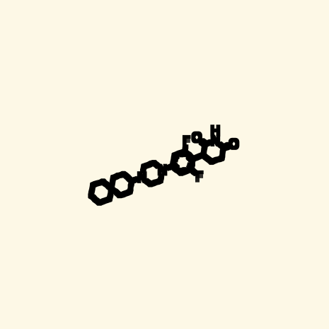 O=C1CCC(c2c(F)cc(N3CCN(C4CCC5(CCCCC5)CC4)CC3)cc2F)C(=O)N1